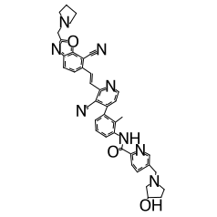 Cc1c(NC(=O)c2ccc(CN3CC[C@@H](O)C3)cn2)cccc1-c1ccnc(/C=C/c2ccc3nc(CN4CCCC4)oc3c2C#N)c1C#N